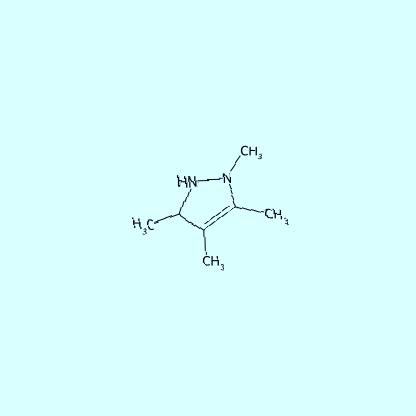 CC1=C(C)N(C)NC1C